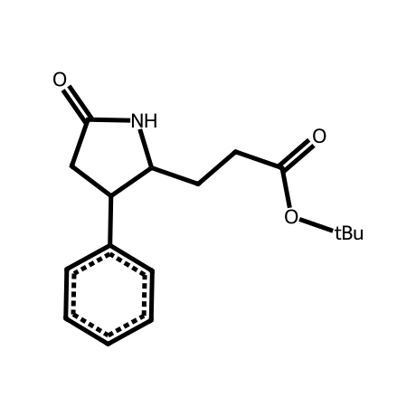 CC(C)(C)OC(=O)CCC1NC(=O)CC1c1ccccc1